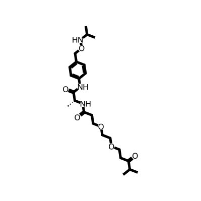 CC(C)NOCc1ccc(NC(=O)[C@@H](C)NC(=O)CCOCCOCCC(=O)C(C)C)cc1